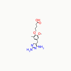 COc1cc(Cc2cnc(N)nc2N)cc(C)c1OCCCCC(=O)O